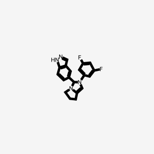 Fc1cc(F)cc(N2C=C3CCCN3C2c2ccc3[nH]ncc3c2)c1